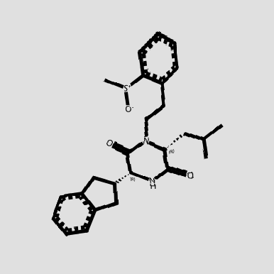 CC(C)C[C@@H]1C(=O)N[C@H](C2Cc3ccccc3C2)C(=O)N1CCc1ccccc1[S+](C)[O-]